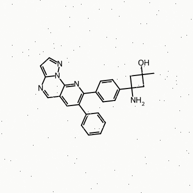 CC1(O)CC(N)(c2ccc(-c3nc4c(cnc5ccnn54)cc3-c3ccccc3)cc2)C1